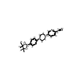 CC1(C)OB(c2ccc(N3CCN(c4ccc(C#N)nc4)CC3)cc2)OC1(C)C